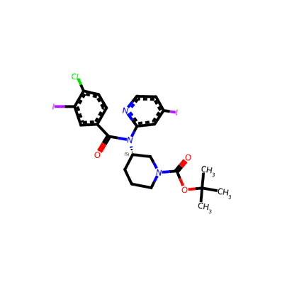 CC(C)(C)OC(=O)N1CCC[C@H](N(C(=O)c2ccc(Cl)c(I)c2)c2cc(I)ccn2)C1